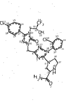 NC(=O)C1CN(c2nc(Cn3nc(-c4ccc(Cl)cc4)n(C[C@H](O)C(F)(F)F)c3=O)nn2-c2ccccc2Cl)CCN1